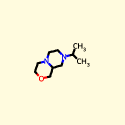 CC(C)N1CCN2CCOCC2C1